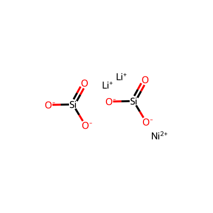 O=[Si]([O-])[O-].O=[Si]([O-])[O-].[Li+].[Li+].[Ni+2]